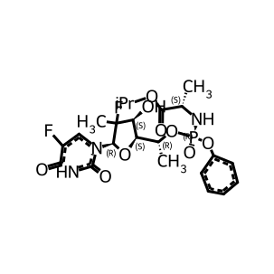 CC(C)OC(=O)[C@H](C)N[P@](=O)(Oc1ccccc1)O[C@H](C)[C@H]1O[C@@H](n2cc(F)c(=O)[nH]c2=O)C(C)(F)[C@H]1O